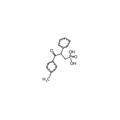 Cc1ccc(C(=O)C(CP(=O)(O)O)c2ccccc2)cc1